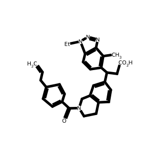 C=CCc1ccc(C(=O)N2CCc3ccc(C(CC(=O)O)c4ccc5c(nnn5CC)c4C)cc3C2)cc1